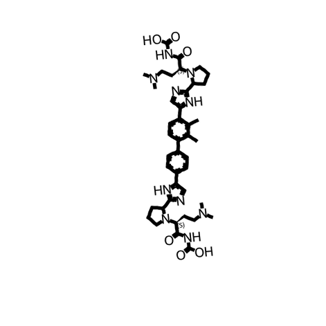 Cc1c(-c2ccc(-c3cnc(C4CCCN4[C@@H](CCN(C)C)C(=O)NC(=O)O)[nH]3)cc2)ccc(-c2cnc(C3CCCN3[C@@H](CCN(C)C)C(=O)NC(=O)O)[nH]2)c1C